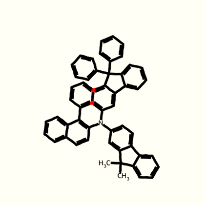 CC1(C)c2ccccc2-c2ccc(N(c3ccc4c(c3)-c3ccccc3C4(c3ccccc3)c3ccccc3)c3ccc4ccccc4c3-c3ccccc3)cc21